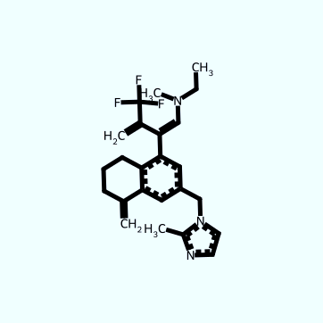 C=C1CCCc2c1cc(Cn1ccnc1C)cc2/C(=C/N(C)CC)C(=C)C(F)(F)F